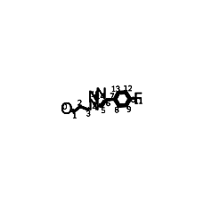 O=CCCn1cc(-c2ccc(F)cc2)nn1